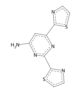 Nc1cc(-c2nccs2)nc(-c2nccs2)n1